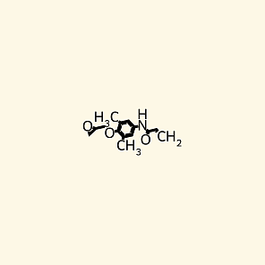 C=CC(=O)Nc1cc(C)c(OCC2CO2)c(C)c1